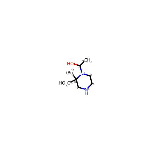 CC(O)N1CCNCC1(C(=O)O)C(C)(C)C